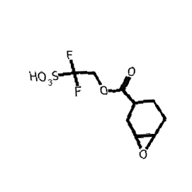 O=C(OCC(F)(F)S(=O)(=O)O)C1CCC2OC2C1